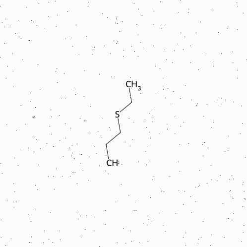 [CH]CCSCC